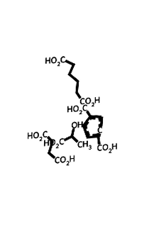 CC(O)C(=O)O.O=C(O)CCC(=O)O.O=C(O)CCCCC(=O)O.O=C(O)c1ccc(C(=O)O)cc1